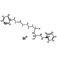 CC(CCCCCCCc1cccnc1)CC(C)CC[n+]1ccccc1.[Br-]